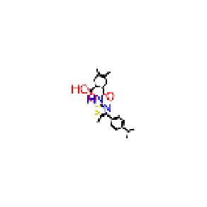 CC1=C(C)CC(C(=O)Nc2nc(-c3ccc(C(C)C)cc3)c(C)s2)C(C(=O)O)C1